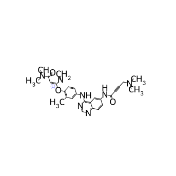 C=N/C(=C\C(=O)N(C)C)Oc1ccc(Nc2ncnc3ccc(NC(=O)C#CCN(C)C)cc23)cc1C